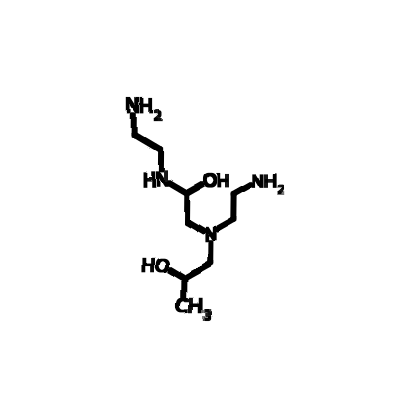 CC(O)CN(CCN)CC(O)NCCN